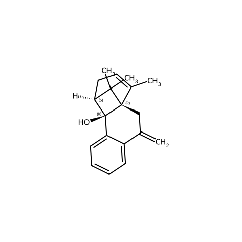 C=C1C[C@]23C(C)=CC[C@@H](C2(C)C)[C@@]3(O)c2ccccc21